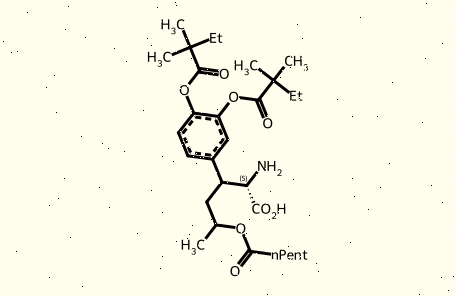 CCCCCC(=O)OC(C)CC(c1ccc(OC(=O)C(C)(C)CC)c(OC(=O)C(C)(C)CC)c1)[C@H](N)C(=O)O